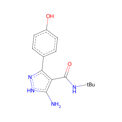 CC(C)(C)NC(=O)c1c(-c2ccc(O)cc2)n[nH]c1N